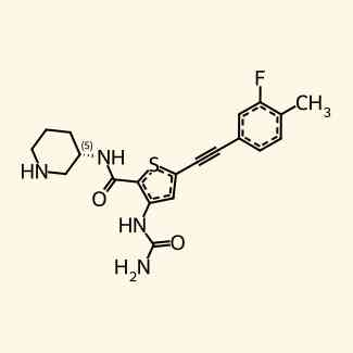 Cc1ccc(C#Cc2cc(NC(N)=O)c(C(=O)N[C@H]3CCCNC3)s2)cc1F